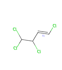 Cl/C=C/C(Cl)C(Cl)Cl